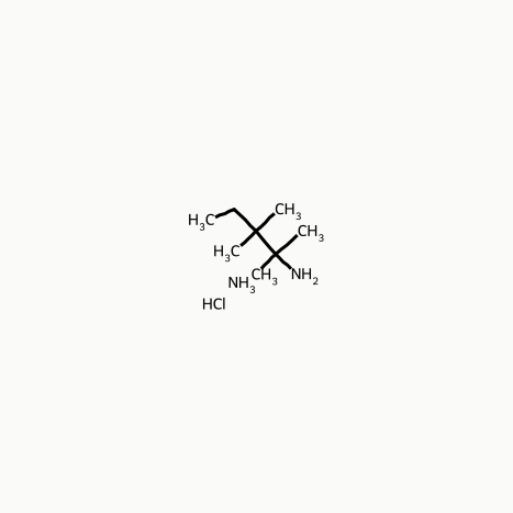 CCC(C)(C)C(C)(C)N.Cl.N